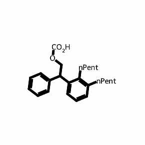 CCCCCc1cccc(C(COC(=O)O)c2ccccc2)c1CCCCC